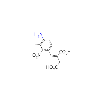 Cc1c(N)ccc(/C=C(/CC(=O)O)C(=O)O)c1[N+](=O)[O-]